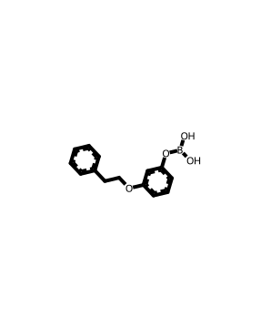 OB(O)Oc1cccc(OCCc2ccccc2)c1